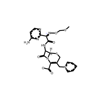 CSCO/N=C(\C(=O)NC1C(=O)N2C(C(=O)[O-])=C(C[n+]3ccccc3)CS[C@H]12)c1nccc(N)n1